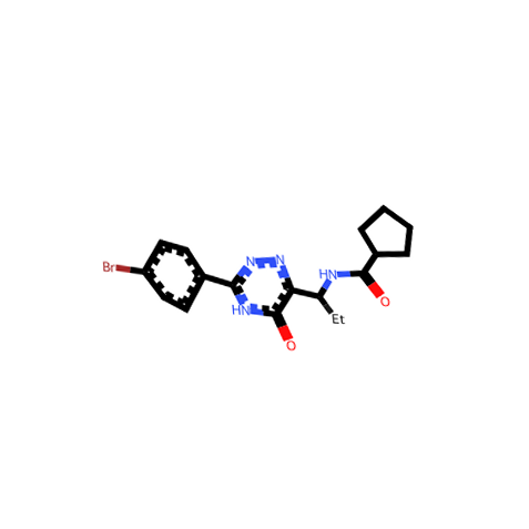 CCC(NC(=O)C1CCCC1)c1nnc(-c2ccc(Br)cc2)[nH]c1=O